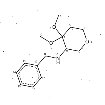 COC1(OC)CCOCC1NCc1ccccc1